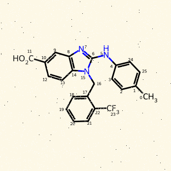 Cc1ccc(Nc2nc3cc(C(=O)O)ccc3n2Cc2ccccc2C(F)(F)F)cc1